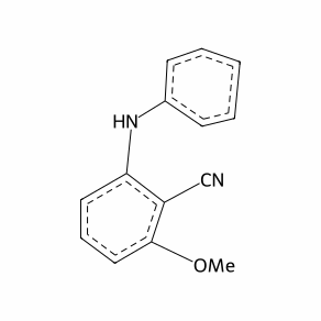 COc1cccc(Nc2ccccc2)c1C#N